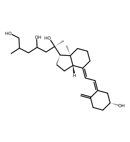 C=C1CC[C@@H](O)C/C1=C/C=C1\CCC[C@@]2(C)[C@H]1CC[C@@H]2[C@](C)(O)CC(O)CC(C)CO